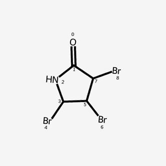 O=C1NC(Br)C(Br)C1Br